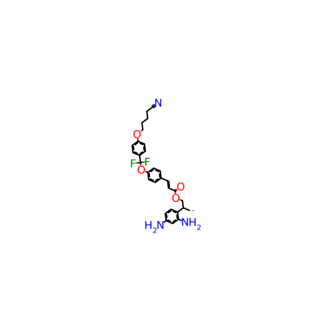 [CH2]C(COC(=O)/C=C/c1ccc(OC(F)(F)c2ccc(OCCCCC#N)cc2)cc1)c1ccc(N)cc1N